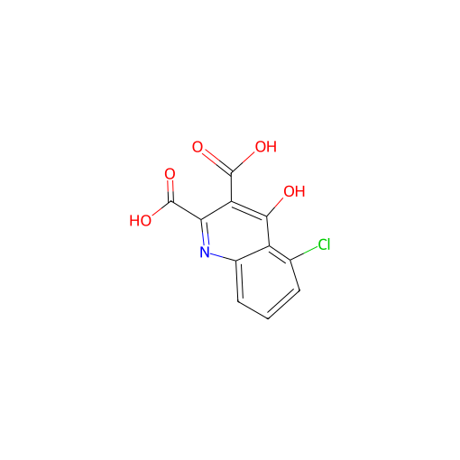 O=C(O)c1nc2cccc(Cl)c2c(O)c1C(=O)O